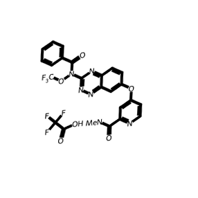 CNC(=O)c1cc(Oc2ccc3nc(N(OC(F)(F)F)C(=O)c4ccccc4)nnc3c2)ccn1.O=C(O)C(F)(F)F